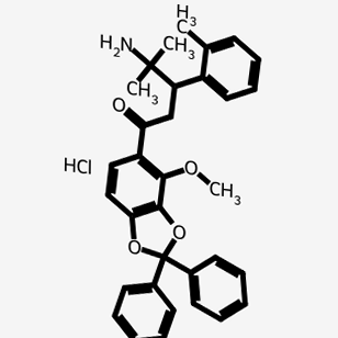 COc1c(C(=O)CC(c2ccccc2C)C(C)(C)N)ccc2c1OC(c1ccccc1)(c1ccccc1)O2.Cl